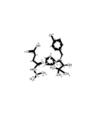 CC(C)(C)[C@H](O)[C@H](Cc1ccc(Cl)cc1)n1cncn1.CN(C)NC(=O)CCC(=O)O